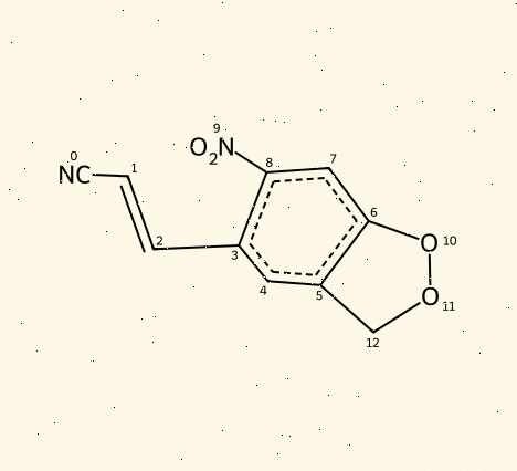 N#CC=Cc1cc2c(cc1[N+](=O)[O-])OOC2